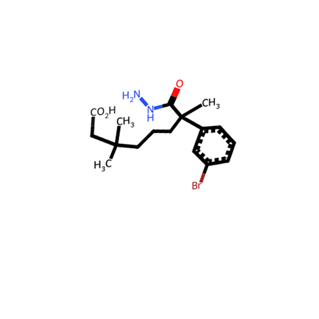 CC(C)(CCCC(C)(C(=O)NN)c1cccc(Br)c1)CC(=O)O